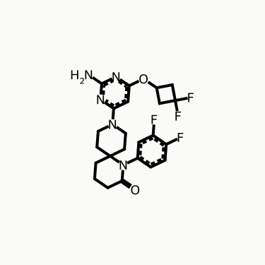 Nc1nc(OC2CC(F)(F)C2)cc(N2CCC3(CCCC(=O)N3c3ccc(F)c(F)c3)CC2)n1